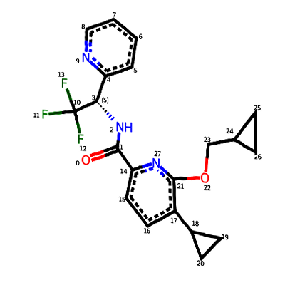 O=C(N[C@@H](c1ccccn1)C(F)(F)F)c1ccc(C2CC2)c(OCC2CC2)n1